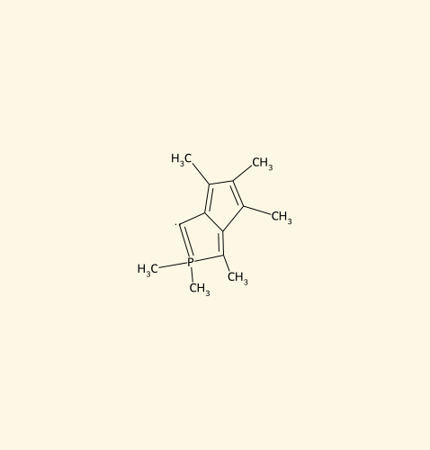 CC1=C(C)C2=C(C)P(C)(C)=[C]C2=C1C